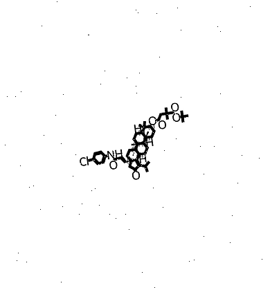 CC(C)C1=C2[C@H]3CC[C@@H]4[C@@]5(C)CC[C@H](OC(=O)CC(C)(C)C(=O)OC(C)(C)C)C(C)(C)[C@@H]5CC[C@@]4(C)[C@]3(C)CC[C@@]2(C=CC(=O)Nc2ccc(Cl)cc2)CC1=O